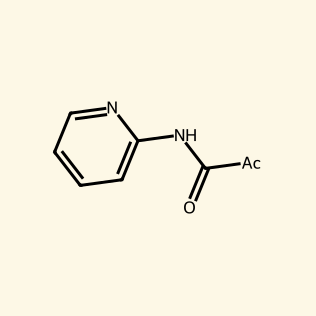 CC(=O)C(=O)Nc1ccccn1